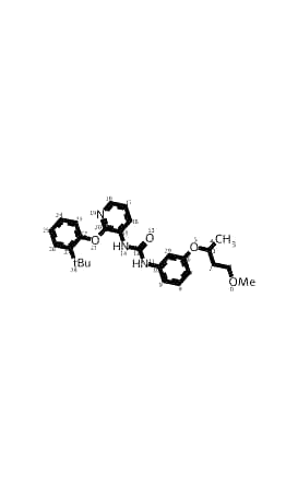 COCCC(C)Oc1cccc(NC(=O)Nc2cccnc2Oc2ccccc2C(C)(C)C)c1